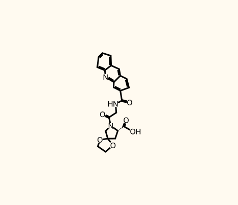 O=C(NCC(=O)N1CC2(C[C@H]1C(=O)O)OCCO2)c1ccc2cc3ccccc3nc2c1